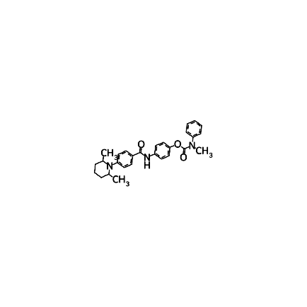 CC1CCCC(C)N1c1ccc(C(=O)Nc2ccc(OC(=O)N(C)c3ccccc3)cc2)cc1